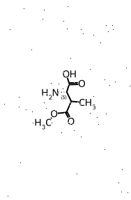 COC(=O)C(C)[C@H](N)C(=O)O